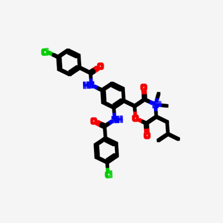 CC(C)CC1C(=O)OC(c2ccc(NC(=O)c3ccc(Cl)cc3)cc2NC(=O)c2ccc(Cl)cc2)C(=O)[N+]1(C)C